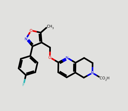 Cc1onc(-c2ccc(F)cc2)c1COc1ccc2c(n1)CCN(C(=O)O)C2